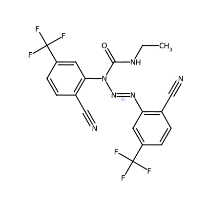 CCNC(=O)N(/N=N/c1cc(C(F)(F)F)ccc1C#N)c1cc(C(F)(F)F)ccc1C#N